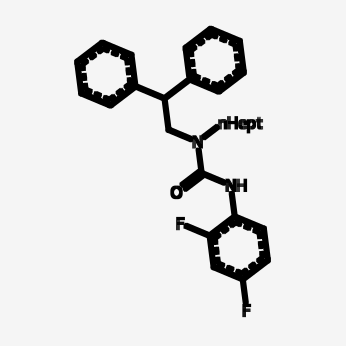 CCCCCCCN(CC(c1ccccc1)c1ccccc1)C(=O)Nc1ccc(F)cc1F